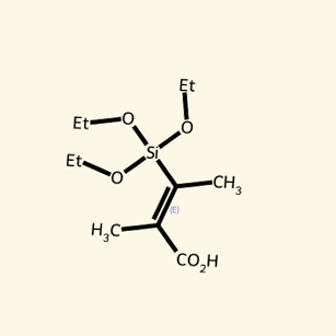 CCO[Si](OCC)(OCC)/C(C)=C(\C)C(=O)O